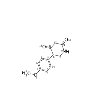 COc1ccc(C2CNC(=O)CC2=O)cc1